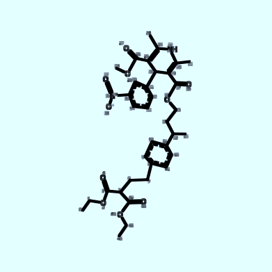 CCOC(=O)C(CCc1ccc(C(C)CCOC(=O)C2=C(C)NC(C)=C(C(=O)OC)C2c2cccc([N+](=O)[O-])c2)cc1)C(=O)OCC